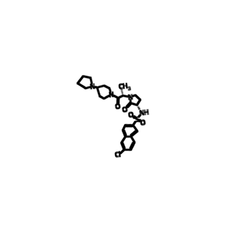 C[C@@H](C(=O)N1CCC(N2CCCC2)CC1)N1CC[C@H](NS(=O)(=O)c2ccc3cc(Cl)ccc3c2)C1=O